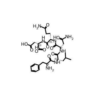 CC(C)C[C@H](NC(=O)[C@@H](N)Cc1ccccc1)C(=O)N[C@@H](CC(N)=O)C(=O)N[C@@H](CCC(N)=O)C(=O)N[C@@H](CC(=O)O)C(=O)O